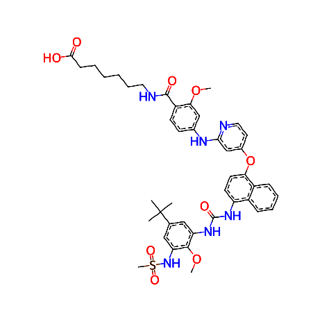 COc1cc(Nc2cc(Oc3ccc(NC(=O)Nc4cc(C(C)(C)C)cc(NS(C)(=O)=O)c4OC)c4ccccc34)ccn2)ccc1C(=O)NCCCCCCC(=O)O